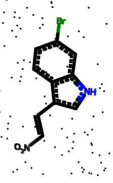 O=[N+]([O-])C=Cc1c[nH]c2cc(Br)ccc12